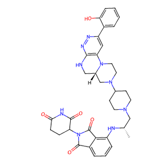 C[C@@H](CN1CCC(N2CCN3c4cc(-c5ccccc5O)nnc4NC[C@H]3C2)CC1)Nc1cccc2c1C(=O)N(C1CCC(=O)NC1=O)C2=O